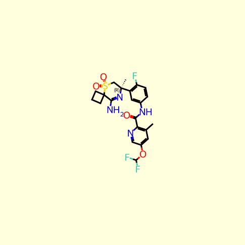 Cc1cc(OC(F)F)cnc1C(=O)Nc1ccc(F)c([C@]2(C)CS(=O)(=O)C3(CCC3)C(N)=N2)c1